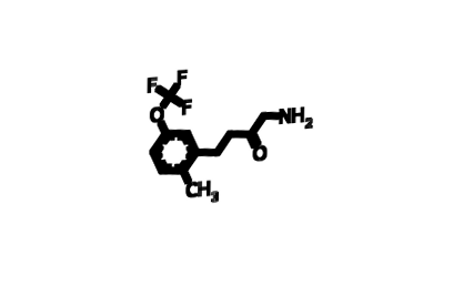 Cc1ccc(OC(F)(F)F)cc1CCC(=O)CN